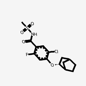 CS(=O)(=O)NC(=O)c1cc(Cl)c(O[C@@H]2CC3CCC2C3)cc1F